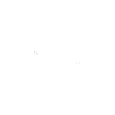 CCC#CCc1cccnc1